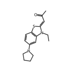 CCN1/C(=C/C(C)=O)Sc2ccc(N3CCCC3)cc21